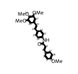 COc1ccc(/C=C/C(=O)Nc2ccc(C=Cc3cc(OC)c(OC)c(OC)c3)cc2)cc1